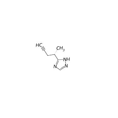 C#CC[C@H](C)c1ncn[nH]1